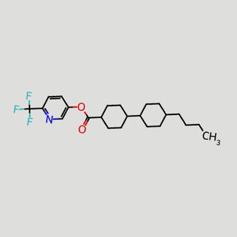 CCCCC1CCC(C2CCC(C(=O)Oc3ccc(C(F)(F)F)nc3)CC2)CC1